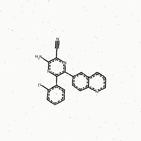 N#Cc1nc(-c2ccc3ncccc3c2)c(-c2ccccc2Cl)nc1N